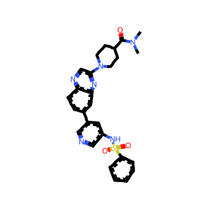 CN(C)C(=O)C1CCN(c2cnc3ccc(-c4cncc(NS(=O)(=O)c5ccccc5)c4)cc3n2)CC1